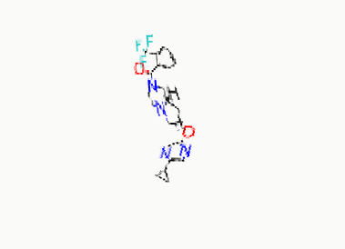 O=C(c1ccccc1C(F)(F)F)N1CCN2C[C@H](Oc3cnc(C4CC4)cn3)C[C@H]2C1